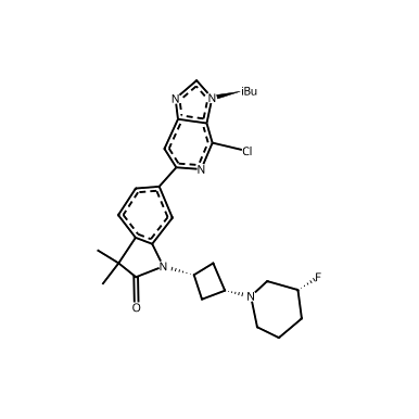 CC[C@H](C)n1cnc2cc(-c3ccc4c(c3)N([C@H]3C[C@@H](N5CCC[C@@H](F)C5)C3)C(=O)C4(C)C)nc(Cl)c21